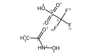 CC(=O)NO.O=S(=O)(O)C(F)(F)F